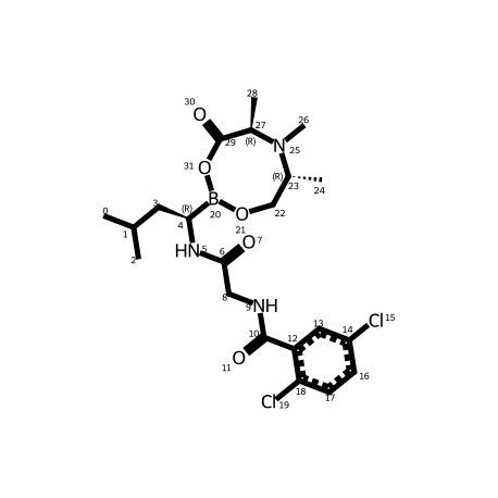 CC(C)C[C@H](NC(=O)CNC(=O)c1cc(Cl)ccc1Cl)B1OC[C@@H](C)N(C)[C@H](C)C(=O)O1